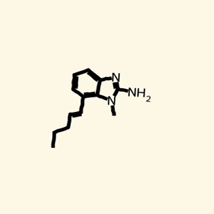 CCCC=Cc1cccc2nc(N)n(C)c12